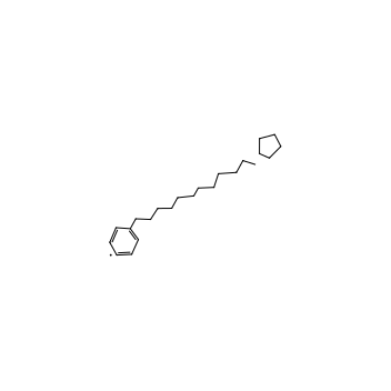 C1CCCC1.CCCCCCCCCCCCc1cc[c]cc1